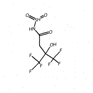 O=C(CC(O)(C(F)(F)F)C(F)(F)F)N[SH](=O)=O